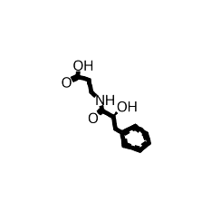 O=C(O)CCNC(=O)[C@@H](O)Cc1ccccc1